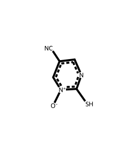 N#Cc1cnc(S)[n+]([O-])c1